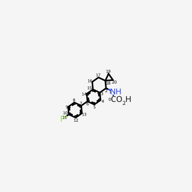 O=C(O)NC1c2ccc(-c3ccc(F)cc3)cc2CCC12CC2